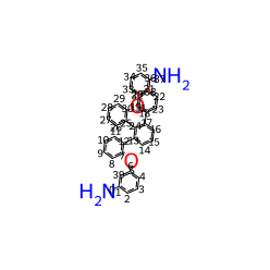 Nc1cccc(Oc2ccccc2-c2cccc(-c3ccccc3)c2-c2ccccc2Oc2cccc(N)c2)c1